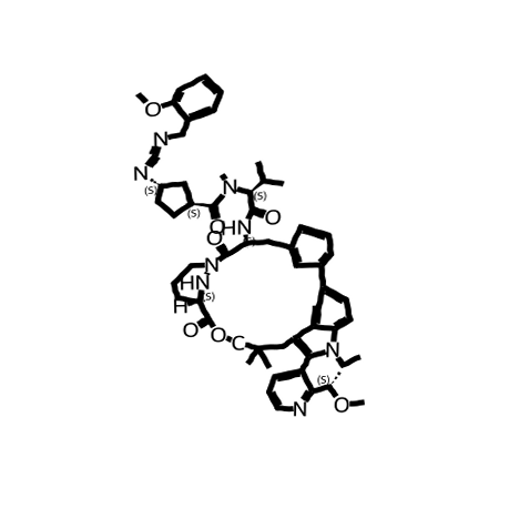 CCn1c(-c2cccnc2[C@H](C)OC)c2c3cc(ccc31)-c1cccc(c1)C[C@H](NC(=O)[C@H](C(C)C)N(C)C(=O)[C@H]1CC[C@H](N=C=NCc3ccccc3OC)C1)C(=O)N1CCC[C@H](N1)C(=O)OCC(C)(C)C2